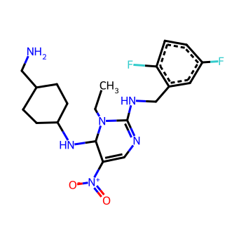 CCN1C(NCc2cc(F)ccc2F)=NC=C([N+](=O)[O-])C1NC1CCC(CN)CC1